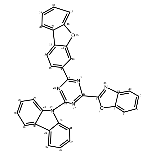 c1ccc2oc(-c3nc(-c4ccc5c(c4)oc4ccccc45)nc(-n4c5ccccc5c5ccccc54)n3)nc2c1